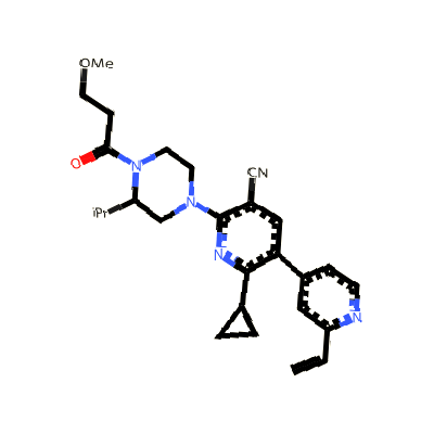 C=Cc1cc(-c2cc(C#N)c(N3CCN(C(=O)CCOC)C(C(C)C)C3)nc2C2CC2)ccn1